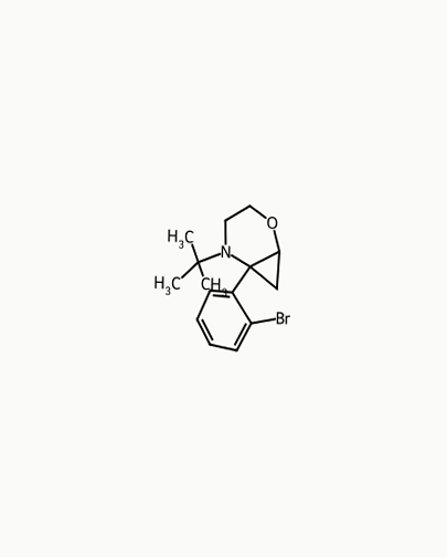 CC(C)(C)N1CCOC2CC21c1ccccc1Br